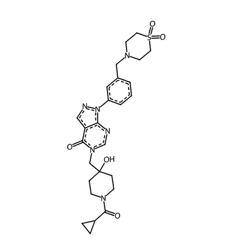 O=C(C1CC1)N1CCC(O)(Cn2cnc3c(cnn3-c3cccc(CN4CCS(=O)(=O)CC4)c3)c2=O)CC1